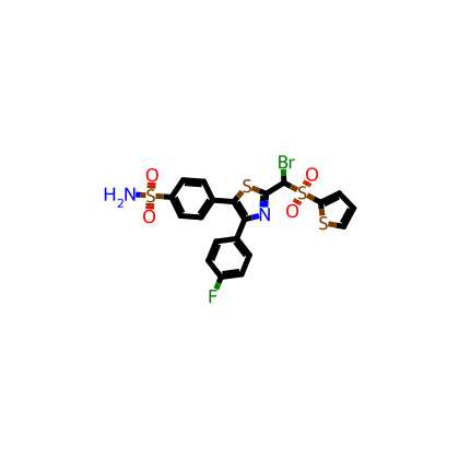 NS(=O)(=O)c1ccc(-c2sc(C(Br)S(=O)(=O)c3cccs3)nc2-c2ccc(F)cc2)cc1